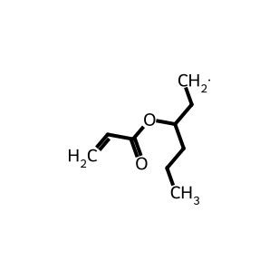 [CH2]CC(CCC)OC(=O)C=C